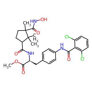 COC(=O)[C@H](Cc1ccc(NC(=O)c2c(Cl)cccc2Cl)cc1)NC(=O)C1CCC(C)(C(=O)NO)C1(C)C